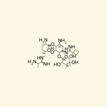 CC(N)C(=N)NC[C@@H]1CCC(N)[C@@H](OC2C(O)C(O[C@H]3OCC(C)(O)[C@H](C)C3O)[C@H](NC(=N)C3(O)CCC3)C[C@@H]2N)O1